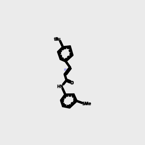 CSc1cccc(NC(=O)/C=C/c2ccc(C(C)(C)C)cc2)c1